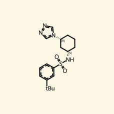 CC(C)(C)c1cccc(S(=O)(=O)N[C@H]2CCC[C@@H](n3cnnc3)C2)c1